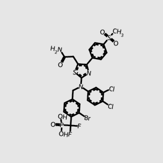 CS(=O)(=O)c1ccc(-c2nc(N(Cc3ccc(C(F)(F)P(=O)(O)O)c(Br)c3)c3ccc(Cl)c(Cl)c3)sc2CC(N)=O)cc1